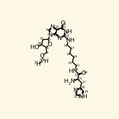 [3H]POCC1OC(n2cnc3c(=O)[nH]c(NCCCCCCNC(=O)C(N)Cc4c[nH]cn4)nc32)CC1O